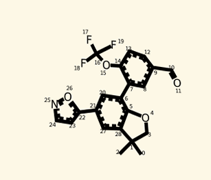 CC1(C)COc2c(-c3cc(C=O)ccc3OC(F)(F)F)cc(-c3ccno3)cc21